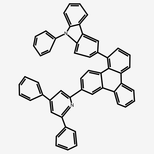 c1ccc(-c2cc(-c3ccccc3)nc(-c3ccc4c(c3)c3ccccc3c3cccc(-c5ccc6c(c5)c5ccccc5n6-c5ccccc5)c34)c2)cc1